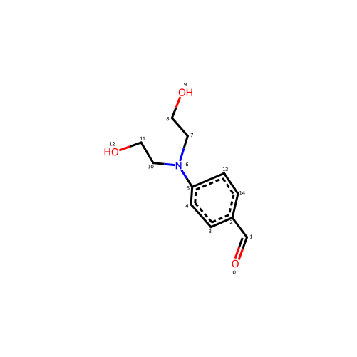 O=Cc1ccc(N(CCO)CCO)cc1